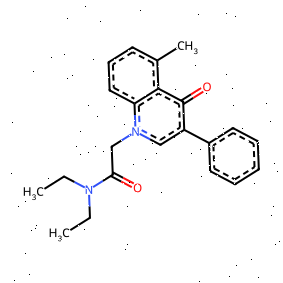 CCN(CC)C(=O)Cn1cc(-c2ccccc2)c(=O)c2c(C)cccc21